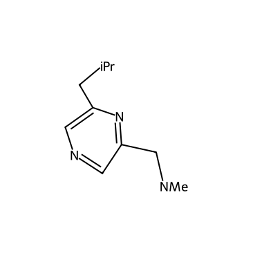 CNCc1cncc(CC(C)C)n1